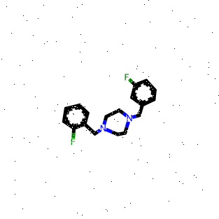 Fc1cccc(CN2CCN(Cc3ccccc3F)CC2)c1